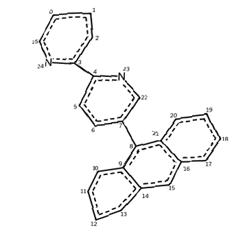 c1ccc(-c2ccc(-c3c4ccccc4cc4ccccc34)cn2)nc1